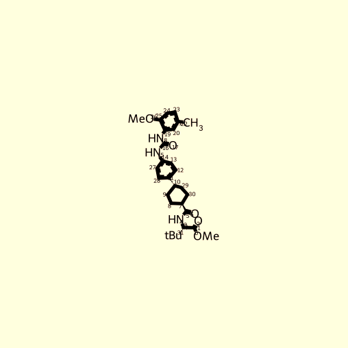 COC(=O)[C@@H](NC(=O)[C@H]1CC[C@H](c2ccc(NC(=O)Nc3cc(C)ccc3OC)cc2)CC1)C(C)(C)C